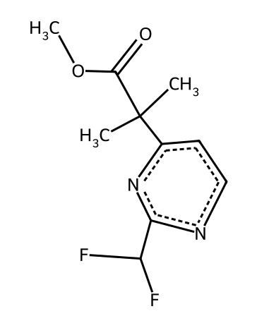 COC(=O)C(C)(C)c1ccnc(C(F)F)n1